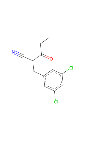 CCC(=O)C(C#N)Cc1cc(Cl)cc(Cl)c1